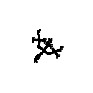 N#CC(C#N)(CC(F)(F)F)CC(F)(F)F